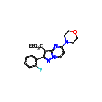 CCOC(=O)c1c(-c2ccccc2F)nn2ccc(N3CCOCC3)nc12